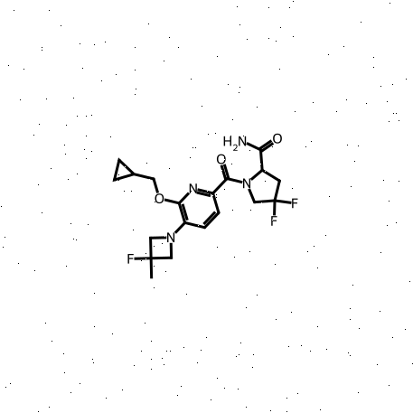 CC1(F)CN(c2ccc(C(=O)N3CC(F)(F)CC3C(N)=O)nc2OCC2CC2)C1